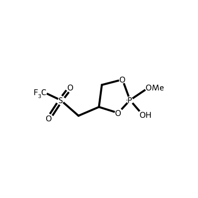 CO[P]1(O)OCC(CS(=O)(=O)C(F)(F)F)O1